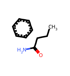 CCCC(N)=O.c1ccccc1